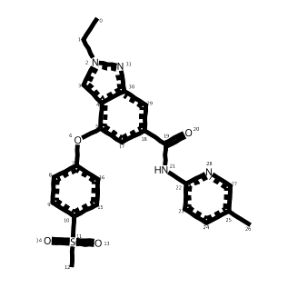 CCn1cc2c(Oc3ccc(S(C)(=O)=O)cc3)cc(C(=O)Nc3ccc(C)cn3)cc2n1